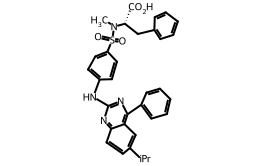 CC(C)c1ccc2nc(Nc3ccc(S(=O)(=O)N(C)[C@@H](Cc4ccccc4)C(=O)O)cc3)nc(-c3ccccc3)c2c1